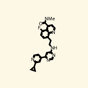 CNC(=O)c1ccnc2c(CCNc3cc(-c4ccnc(C5CC5)c4)ncn3)ccc(F)c12